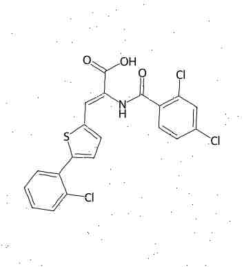 O=C(O)C(=Cc1ccc(-c2ccccc2Cl)s1)NC(=O)c1ccc(Cl)cc1Cl